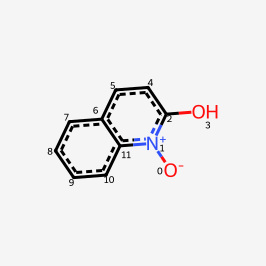 [O-][n+]1c(O)ccc2ccccc21